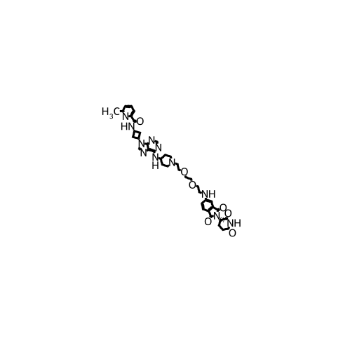 Cc1cccc(C(=O)NC2CC(n3cnc4c(NC5CCN(CCOCCOCCNc6ccc7c(c6)C(=O)N([C@H]6CCC(=O)NC6=O)C7=O)CC5)ncnc43)C2)n1